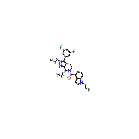 C[C@H]1c2nn(C)c(-c3cc(F)cc(F)c3)c2CCN1C(=O)c1cccc2c1ccn2CCF